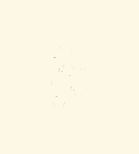 Cc1nc2c(ccc3ccccc32)c(O)c1CN(C)Cc1ccccc1